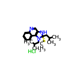 CSC1(CC(C)C)Nc2cnc3ccccc3c2N1CC(C)C.Cl